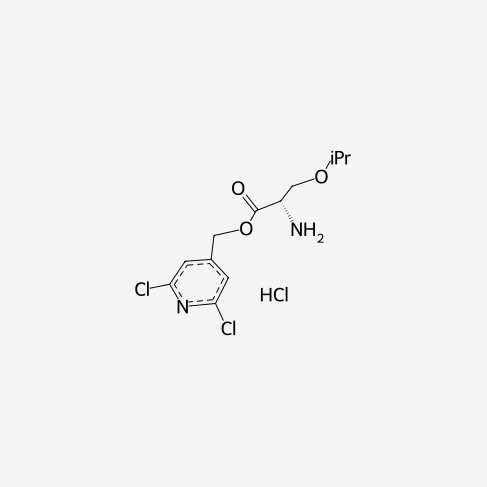 CC(C)OC[C@H](N)C(=O)OCc1cc(Cl)nc(Cl)c1.Cl